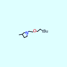 CC1CCN(CCOCCC(C)(C)C)C1